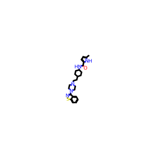 Cc1ccc(C(=O)NC2CCC(CCN3CCN(c4nsc5ccccc45)CC3)CC2)[nH]1